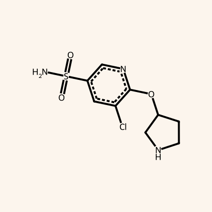 NS(=O)(=O)c1cnc(OC2CCNC2)c(Cl)c1